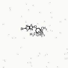 CC1(C)CC(Oc2nc3sc(Br)nc3s2)CC(C)(C)N1